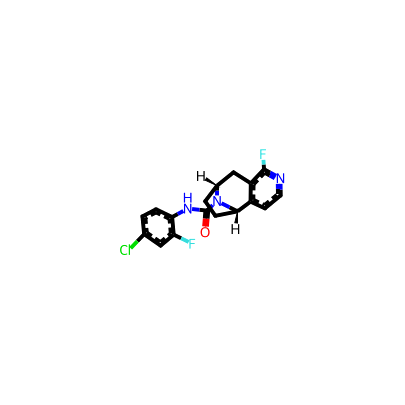 O=C(Nc1ccc(Cl)cc1F)N1[C@@H]2CC[C@H]1c1ccnc(F)c1C2